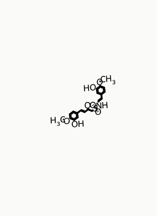 COc1ccc(C=CNS(=O)(=O)CC(=O)C=Cc2ccc(OC)c(O)c2)cc1O